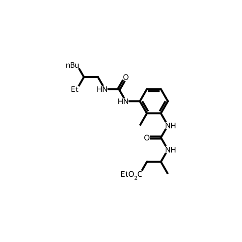 CCCCC(CC)CNC(=O)Nc1cccc(NC(=O)NC(C)CC(=O)OCC)c1C